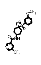 O=C(NC1CCC(F)(S(=O)(=O)c2cccc(OC(F)(F)F)c2)CC1)c1cncc(C(F)(F)F)c1